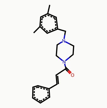 Cc1cc(C)cc(CN2CCN(C(=O)C=Cc3ccccc3)CC2)c1